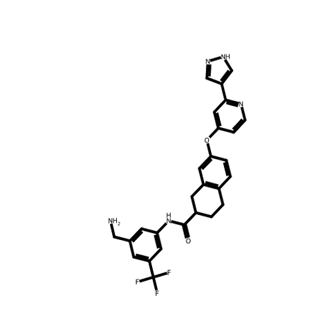 NCc1cc(NC(=O)C2CCc3ccc(Oc4ccnc(-c5cn[nH]c5)c4)cc3C2)cc(C(F)(F)F)c1